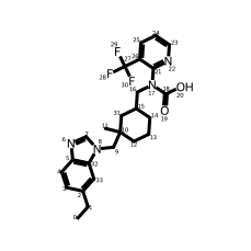 CCc1ccc2ncn(CC3(C)CCCC(CN(C(=O)O)c4ncccc4C(F)(F)F)C3)c2c1